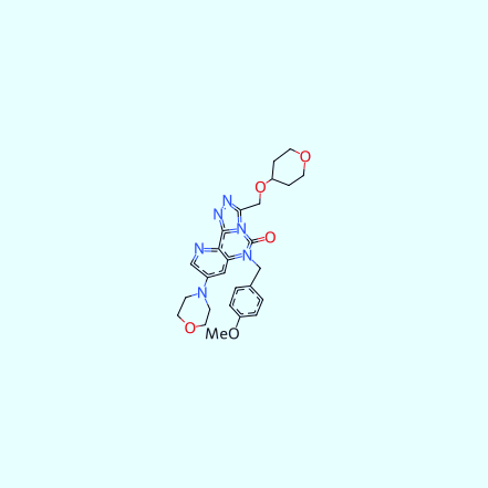 COc1ccc(Cn2c(=O)n3c(COC4CCOCC4)nnc3c3ncc(N4CCOCC4)cc32)cc1